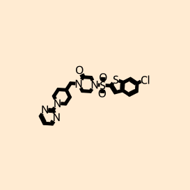 O=C1CN(S(=O)(=O)c2cc3ccc(Cl)cc3s2)CCN1CC1CCN(c2ncccn2)CC1